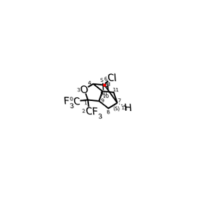 FC(F)(F)C1(C(F)(F)F)OC2C(Cl)[C@@H]3CC1[C@H]2C3